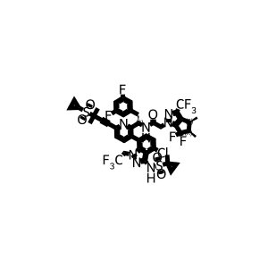 C[C@@H]1c2c(C(F)(F)F)nn(CC(=O)N[C@@H](Cc3cc(F)cc(F)c3)c3nc(C#CC(C)(C)S(=O)(=O)C4CC4)ccc3-c3ccc(Cl)c4c(NS(=O)(=O)C5(C)CC5)nn(CC(F)(F)F)c34)c2C(F)(F)[C@@H]1C